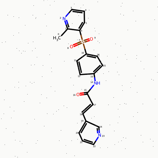 Cc1ncccc1S(=O)(=O)c1ccc(NC(=O)C=Cc2cccnc2)cc1